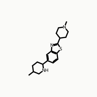 CC1CCC(c2ccc3sc(C4CCN(C)CC4)nc3c2)NC1